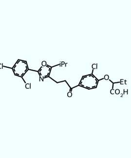 CCC(Oc1ccc(C(=O)CCc2nc(-c3ccc(Cl)cc3Cl)oc2C(C)C)cc1Cl)C(=O)O